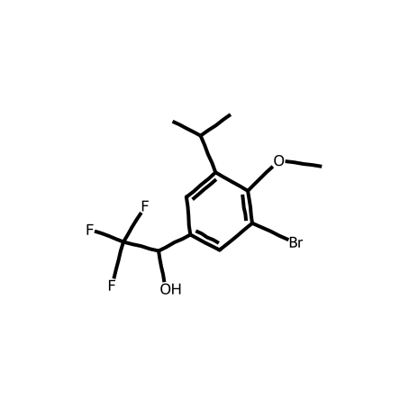 COc1c(Br)cc(C(O)C(F)(F)F)cc1C(C)C